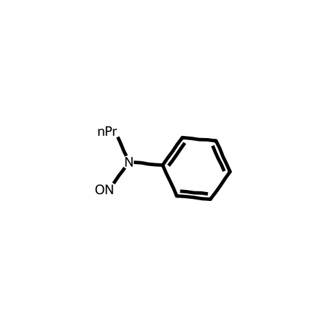 CCCN(N=O)c1ccccc1